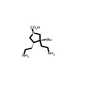 CC(C)(C)[C@]1(CCN)CN(C(=O)O)C[C@H]1CCN